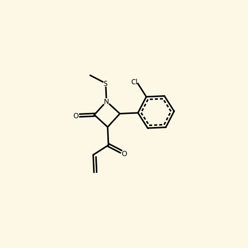 C=CC(=O)C1C(=O)N(SC)C1c1ccccc1Cl